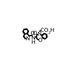 O=C(O)CN1C(=O)[C@@H](NC(=O)c2nccc3ccccc23)COc2ccccc21